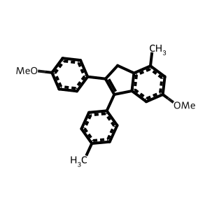 COc1ccc(C2=C(c3ccc(C)cc3)c3cc(OC)cc(C)c3C2)cc1